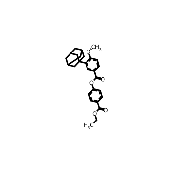 CCOC(=O)c1ccc(OC(=O)c2ccc(OC)c(C34CC5CC(CC(C5)C3)C4)c2)cc1